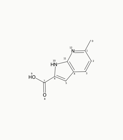 Cc1ccc2cc(C(=O)O)[nH]c2n1